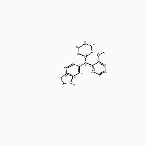 COc1ccccc1C(c1ccc2c(c1)OCO2)N1CCOCC1